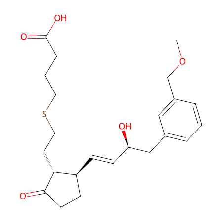 COCc1cccc(C[C@H](O)C=C[C@H]2CCC(=O)[C@@H]2CCSCCCC(=O)O)c1